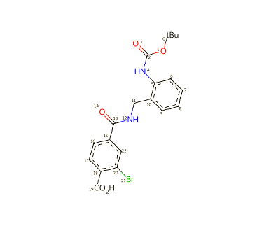 CC(C)(C)OC(=O)Nc1ccccc1CNC(=O)c1ccc(C(=O)O)c(Br)c1